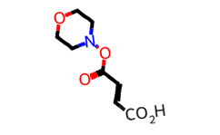 O=C(O)C=CC(=O)ON1CCOCC1